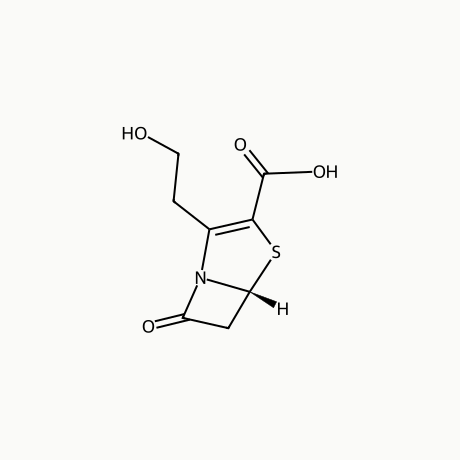 O=C(O)C1=C(CCO)N2C(=O)C[C@H]2S1